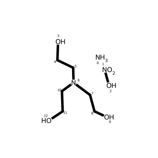 N.O=[N+]([O-])O.OCCN(CCO)CCO